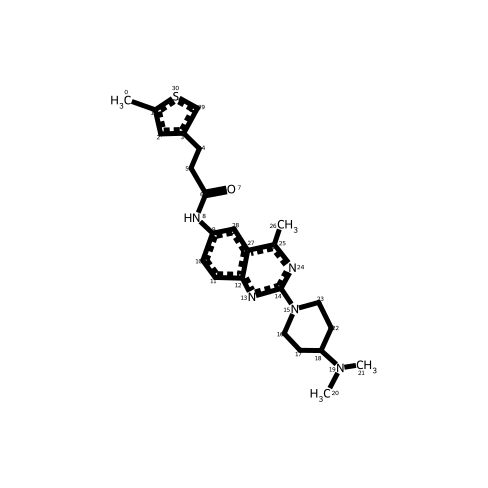 Cc1cc(CCC(=O)Nc2ccc3nc(N4CCC(N(C)C)CC4)nc(C)c3c2)cs1